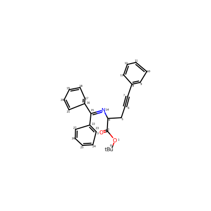 CC(C)(C)OC(=O)C(CC#Cc1ccccc1)N=C(c1ccccc1)c1ccccc1